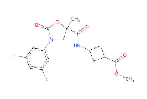 COC(=O)C1CC(NC(=O)C2(C)CN(c3cc(F)cc(F)c3)C(=O)O2)C1